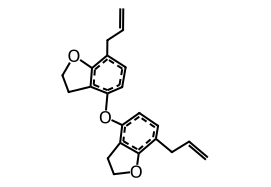 C=CCc1ccc(Oc2ccc(CC=C)c3c2CCO3)c2c1OCC2